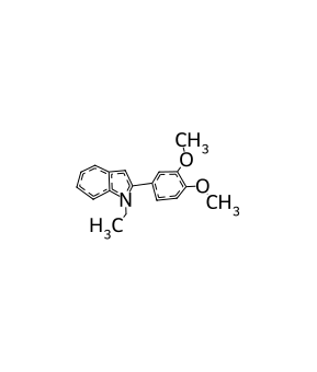 CCn1c(-c2ccc(OC)c(OC)c2)cc2ccccc21